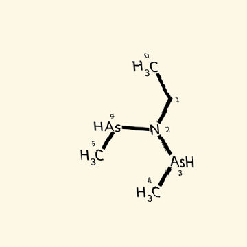 CCN([AsH]C)[AsH]C